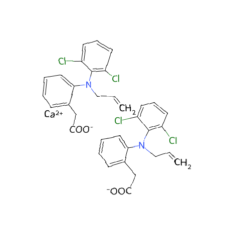 C=CCN(c1ccccc1CC(=O)[O-])c1c(Cl)cccc1Cl.C=CCN(c1ccccc1CC(=O)[O-])c1c(Cl)cccc1Cl.[Ca+2]